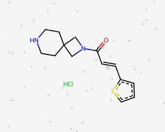 Cl.O=C(/C=C/c1cccs1)N1CC2(CCNCC2)C1